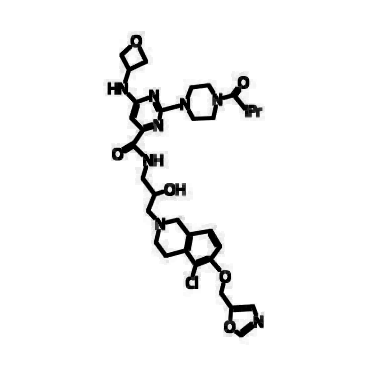 CC(C)C(=O)N1CCN(c2nc(NC3COC3)cc(C(=O)NCC(O)CN3CCc4c(ccc(OCc5cnco5)c4Cl)C3)n2)CC1